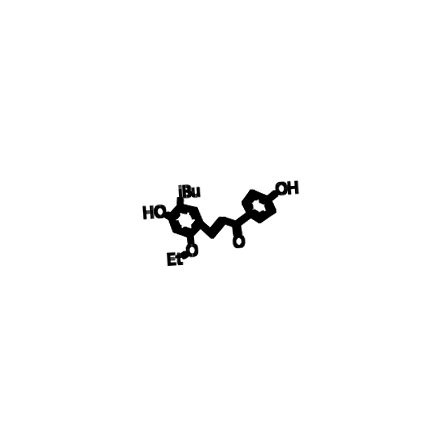 CCOc1cc(O)c(C(C)CC)cc1C=CC(=O)c1ccc(O)cc1